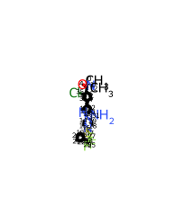 CN(C)C(=O)c1ccc(-c2cnc(N3CCN(Sc4ccccc4C(F)(F)F)CC3)c(N)c2)cc1Cl